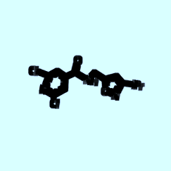 CC(C)c1cc(CNC(=O)c2cc(Cl)nc(Cl)c2)on1